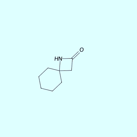 O=C1CC2(CCCCC2)N1